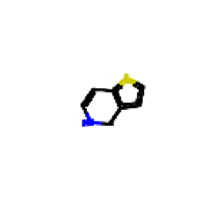 [C]1NC=Cc2sccc21